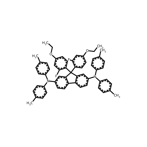 CCOc1ccc(C2(c3ccc(OCC)cc3F)c3cc(N(c4ccc(C)cc4)c4ccc(C)cc4)ccc3-c3ccc(N(c4ccc(C)cc4)c4ccc(C)cc4)cc32)c(F)c1